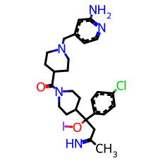 CC(=N)CC(OI)(c1ccc(Cl)cc1)C1CCN(C(=O)C2CCN(Cc3ccnc(N)c3)CC2)CC1